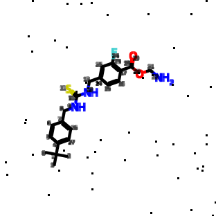 CC(C)(C)c1ccc(CNC(=S)NCc2ccc(C(=O)OCN)c(F)c2)cc1